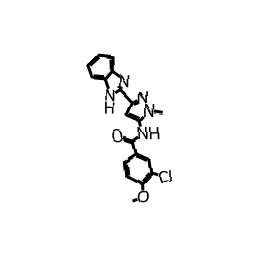 COc1ccc(C(=O)Nc2cc(-c3nc4ccccc4[nH]3)nn2C)cc1Cl